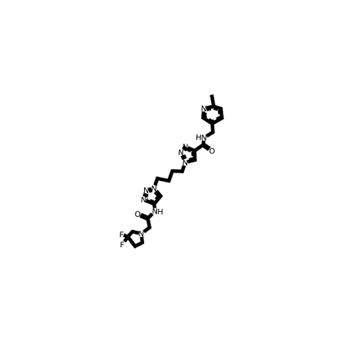 Cc1ccc(CNC(=O)c2cn(CCCCn3cc(NC(=O)CN4CCC(F)(F)C4)nn3)nn2)cn1